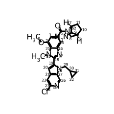 COc1cc(C(=O)N2C[C@H]3CC[C@@H]2C3N)cc2nc(-c3cc4cc(Cl)ncc4n3CC3CC3)n(C)c12